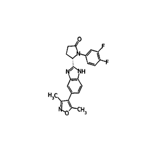 Cc1noc(C)c1-c1ccc2[nH]c([C@@H]3CCC(=O)N3c3ccc(F)c(F)c3)nc2c1